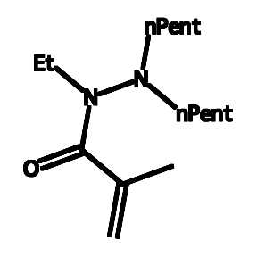 C=C(C)C(=O)N(CC)N(CCCCC)CCCCC